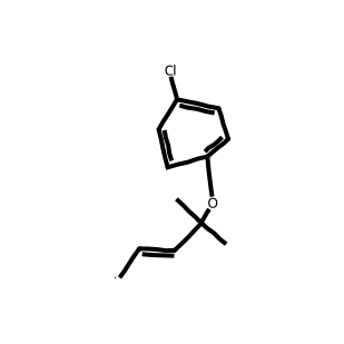 [CH2]C=CC(C)(C)Oc1ccc(Cl)cc1